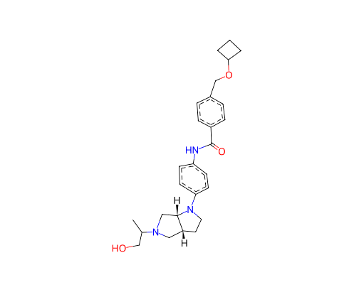 CC(CO)N1C[C@H]2CCN(c3ccc(NC(=O)c4ccc(COC5CCC5)cc4)cc3)[C@H]2C1